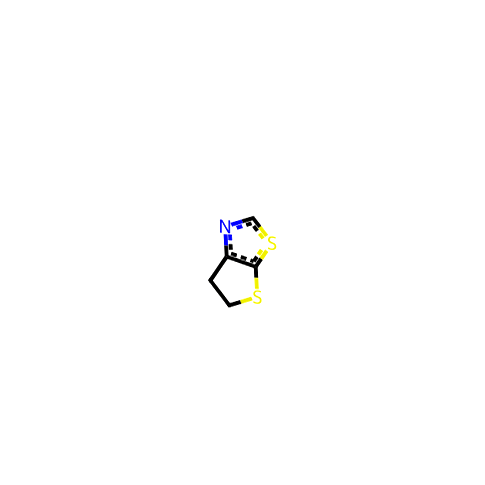 c1nc2c(s1)SCC2